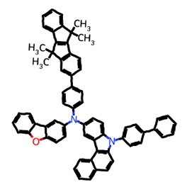 CC1(C)C2=C(c3ccccc31)C(C)(C)c1cc(-c3ccc(N(c4ccc5oc6ccccc6c5c4)c4ccc5c(c4)c4c6ccccc6ccc4n5-c4ccc(-c5ccccc5)cc4)cc3)ccc12